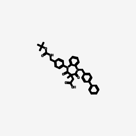 CC(C)(C)OC(=O)NCc1ccc(N2C(=O)C(C)(CC(=O)O)C(=O)N(Cc3ccc(-c4ccccc4)cc3)c3ccccc32)cc1